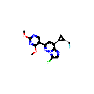 COc1ncc(-c2cc([C@H]3C[C@@H]3CF)c3ncc(Cl)n3n2)c(OC)n1